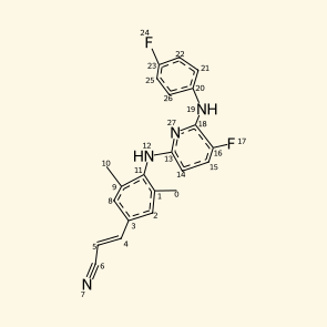 Cc1cc(C=CC#N)cc(C)c1Nc1ccc(F)c(Nc2ccc(F)cc2)n1